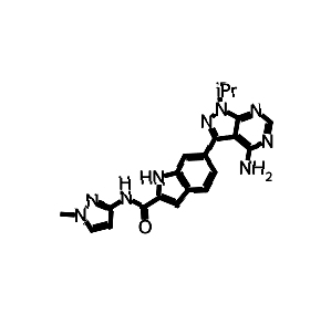 CC(C)n1nc(-c2ccc3cc(C(=O)Nc4ccn(C)n4)[nH]c3c2)c2c(N)ncnc21